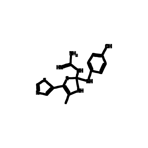 CC1=C(c2cncs2)SC(NC(=N)N)(Nc2ccc(O)cc2)N1